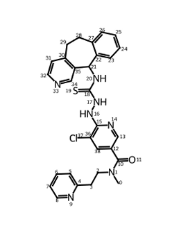 CN(CCc1ccccn1)C(=O)c1cnc(NNC(=S)NC2c3ccccc3CCc3ccncc32)c(Cl)c1